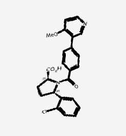 COc1ccncc1-c1ccc(C(=O)N2[C@@H](c3ccccc3Cl)CC[C@H]2C(=O)O)cc1